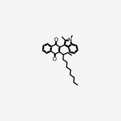 CCCCCCCCC(CC)C1=C(c2c(C)n(C)c3ccccc23)C(=O)c2ccccc2C1=O